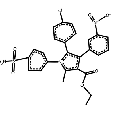 CCOC(=O)c1c(-c2cccc([N+](=O)[O-])c2)c(-c2ccc(Cl)cc2)n(-c2ccc(S(N)(=O)=O)cc2)c1C